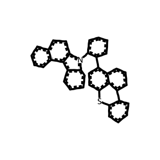 c1ccc2c(c1)Sc1ccc(-c3ccccc3-n3c4ccccc4c4c5ccccc5ccc43)c3cccc-2c13